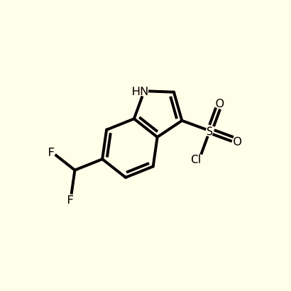 O=S(=O)(Cl)c1c[nH]c2cc(C(F)F)ccc12